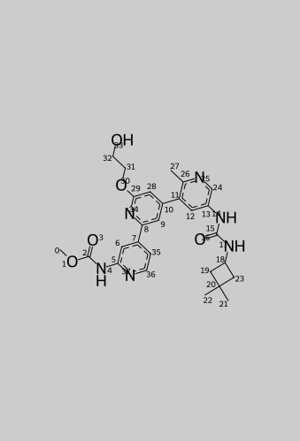 COC(=O)Nc1cc(-c2cc(-c3cc(NC(=O)NC4CC(C)(C)C4)cnc3C)cc(OCCO)n2)ccn1